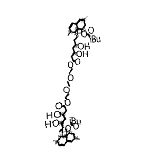 CCC(C)C(=O)O[C@H]1C[C@@H](C)C=C2C=C[C@H](C)[C@H](CC[C@H](O)C[C@H](O)CC(=O)OCCOCCOCCOC(=O)C[C@H](O)C[C@@H](O)CC[C@@H]3[C@@H]4C(=C[C@H](C)C[C@@H]4OC(=O)C(C)CC)C=C[C@@H]3C)[C@H]21